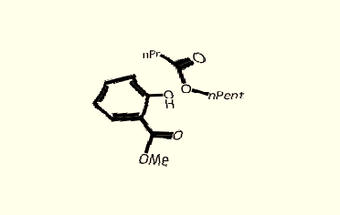 CCCCCOC(=O)CCC.COC(=O)c1ccccc1O